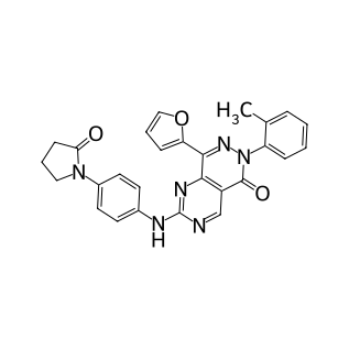 Cc1ccccc1-n1nc(-c2ccco2)c2nc(Nc3ccc(N4CCCC4=O)cc3)ncc2c1=O